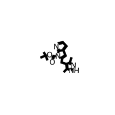 Cc1n[nH]c(C)c1Cc1cc2cccnc2n1C(=O)OC(C)(C)C